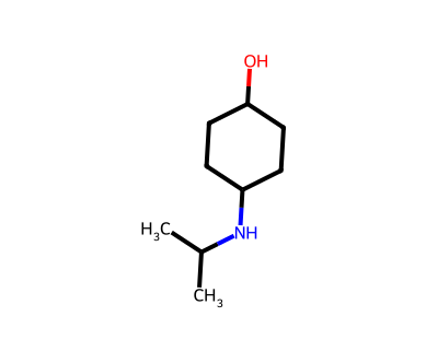 CC(C)NC1CCC(O)CC1